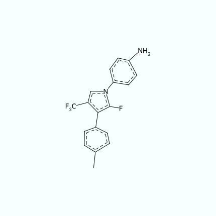 Cc1ccc(-c2c(C(F)(F)F)cn(-c3ccc(N)cc3)c2F)cc1